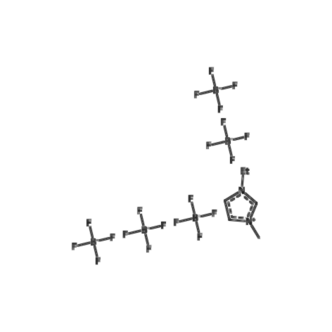 CCn1cc[n+](C)c1.F[B-](F)(F)F.F[B-](F)(F)F.F[B-](F)(F)F.F[B-](F)(F)F.F[B-](F)(F)F